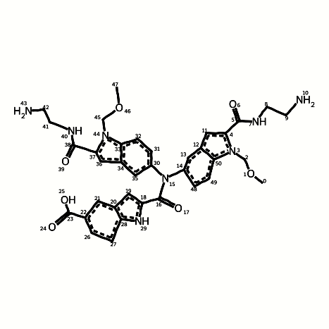 COCn1c(C(=O)NCCN)cc2cc(N(C(=O)c3cc4cc(C(=O)O)ccc4[nH]3)c3ccc4c(c3)cc(C(=O)NCCN)n4COC)ccc21